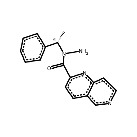 C[C@@H](c1ccccc1)N(N)C(=O)c1ccc2cnccc2n1